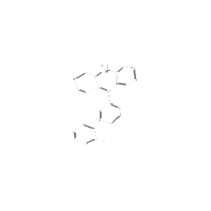 c1ccc(-c2cccc(-c3c4ccccc4nc4ccccc34)c2)cc1